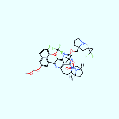 COCOc1cc(-c2nc3c4c(nc(OC[C@@]56CCCN5C[C@@]5(CC5(F)F)C6)nc4c2F)N2C[C@H]4CC[C@@H]([C@H]2CC3)N4C(=O)OC(C)(C)C)c2c(OC(F)(F)F)c(F)ccc2c1